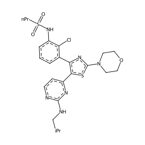 CCCS(=O)(=O)Nc1cccc(-c2nc(N3CCOCC3)sc2-c2ccnc(NCC(C)C)n2)c1Cl